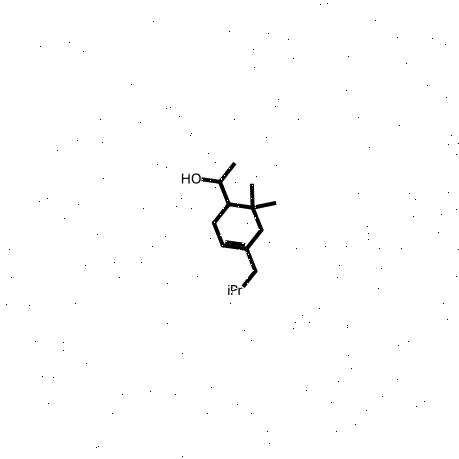 CC(C)CC1=CCC(C(C)O)C(C)(C)C1